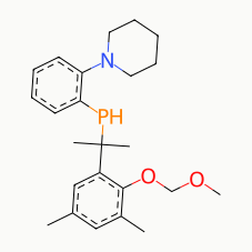 COCOc1c(C)cc(C)cc1C(C)(C)Pc1ccccc1N1CCCCC1